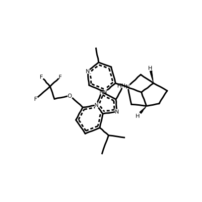 Cc1cc(N2C[C@H]3CC[C@@H](C2)C3Nc2nc3c(C(C)C)ccc(OCC(F)(F)F)n3n2)ncn1